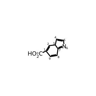 O=C(O)C1=CC2C=CN=C2C=C1